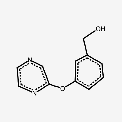 OCc1cccc(Oc2cnccn2)c1